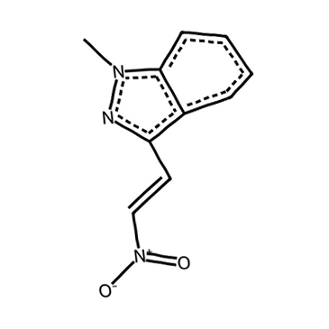 Cn1nc(/C=C/[N+](=O)[O-])c2ccccc21